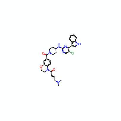 CN(C)C/C=C/C(=O)N1CCOc2cc(C(=O)N3CCC(Nc4ncc(Cl)c(-c5c[nH]c6ccccc56)n4)CC3)ccc21